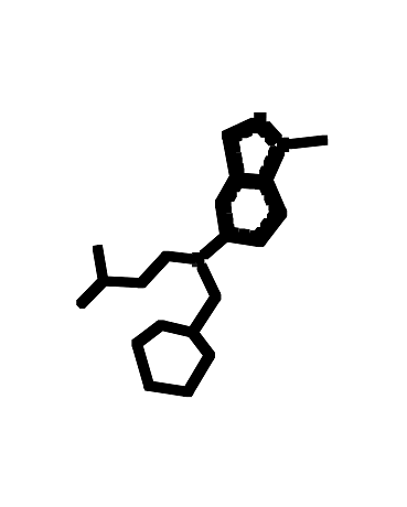 CC(C)CCN(CC1CCCCC1)c1ccc2c(cnn2C)c1